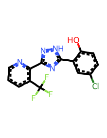 Oc1ccc(Cl)cc1-c1nc(-c2ncccc2C(F)(F)F)n[nH]1